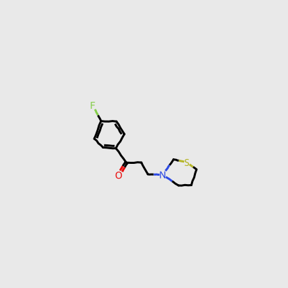 O=C(CCN1CCCSC1)c1ccc(F)cc1